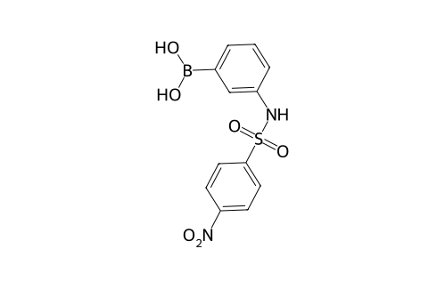 O=[N+]([O-])c1ccc(S(=O)(=O)Nc2cccc(B(O)O)c2)cc1